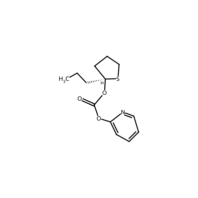 CCC[C@]1(OC(=O)Oc2ccccn2)CCCS1